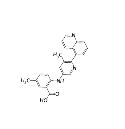 Cc1ccc(Nc2cnc(-c3cccc4ncccc34)c(C)c2)c(C(=O)O)c1